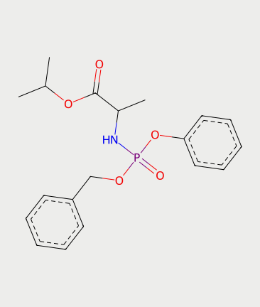 CC(C)OC(=O)C(C)NP(=O)(OCc1ccccc1)Oc1ccccc1